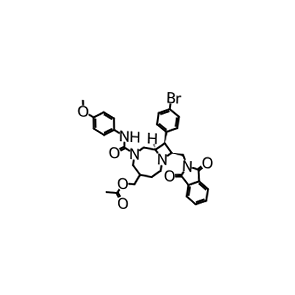 COc1ccc(NC(=O)N2CC(COC(C)=O)CCN3[C@H](CN4C(=O)c5ccccc5C4=O)[C@H](c4ccc(Br)cc4)[C@@H]3C2)cc1